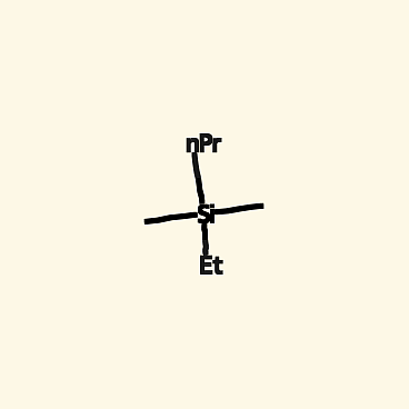 [CH2]C[Si](C)(C)CCC